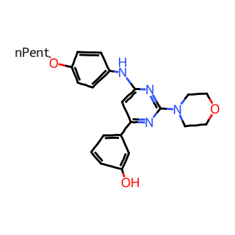 CCCCCOc1ccc(Nc2cc(-c3cccc(O)c3)nc(N3CCOCC3)n2)cc1